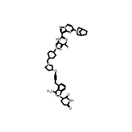 Cc1nn(C2CCC(=O)NC2=O)c2cccc(CC#CO[C@@H]3CCN(CC4CCC(n5cc(NC(=O)c6cnn7ccc(N8CC9CCC(C8)C9=O)nc67)c(C(F)F)n5)CC4)C3)c12